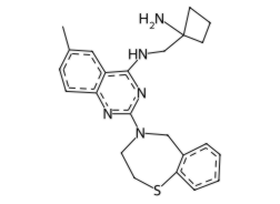 Cc1ccc2nc(N3CCSc4ccccc4C3)nc(NCC3(N)CCC3)c2c1